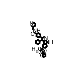 CN(c1ccc2[nH]c3ncc(-c4ccc(C(=O)NCc5cccnc5)cc4)c(-c4ccccc4)c3c2c1)S(=O)(=O)c1ccco1